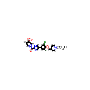 O=C(O)N1CCC(COc2c(F)cc(-c3cnc(C(=O)N4CC[C@H](O)C4)nc3)cc2F)CC1